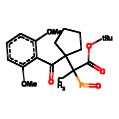 COc1cccc(OC)c1C(=O)C1(C(C)(P=O)C(=O)OC(C)(C)C)CCCC1